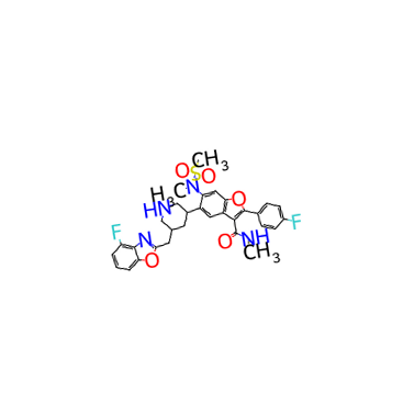 CNC(=O)c1c(-c2ccc(F)cc2)oc2cc(N(C)S(C)(=O)=O)c(C3CNCC(Cc4nc5c(F)cccc5o4)C3)cc12